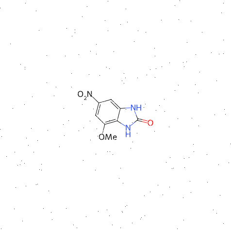 COc1cc([N+](=O)[O-])cc2[nH]c(=O)[nH]c12